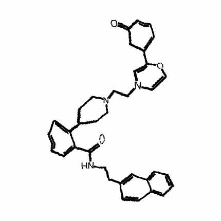 O=C1C=CC=C(C2=CN(CCN3CCC(c4ccccc4C(=O)NCCc4ccc5ccccc5c4)CC3)C=CO2)C1